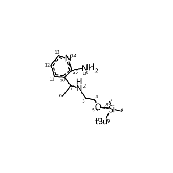 CC(NCCO[Si](C)(C)C(C)(C)C)c1cccnc1N